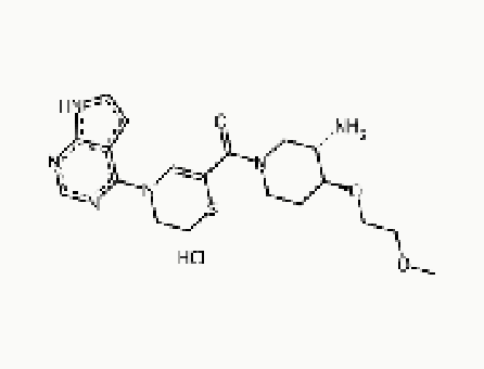 COCCO[C@H]1CCN(C(=O)C2=CN(c3ncnc4[nH]ccc34)CCS2)C[C@@H]1N.Cl